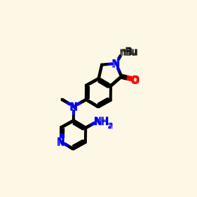 CCCCN1Cc2cc(N(C)c3cnccc3N)ccc2C1=O